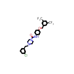 O=C(Nc1ccc(OCc2cc(C(F)(F)F)cc(C(F)(F)F)c2)cc1)N1CCN(CCc2cccc(Cl)c2)CC1